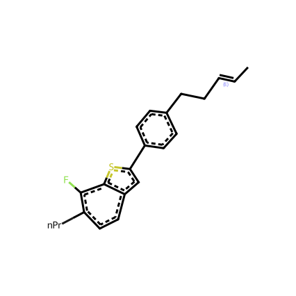 C/C=C/CCc1ccc(-c2cc3ccc(CCC)c(F)c3s2)cc1